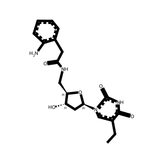 CCc1cn([C@H]2C[C@H](O)[C@@H](CNC(=O)Cc3ccccc3N)O2)c(=O)[nH]c1=O